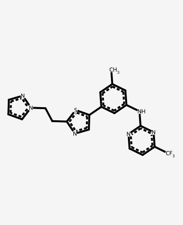 Cc1cc(Nc2nccc(C(F)(F)F)n2)cc(-c2cnc(CCn3cccn3)s2)c1